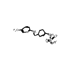 CC(C)S(=O)(=O)NC1CCC(CNc2ccc(C(F)(F)F)cn2)CC1